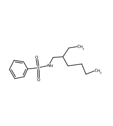 CCCCC(CC)CNS(=O)(=O)c1ccccc1